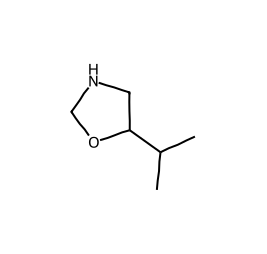 CC(C)C1CNCO1